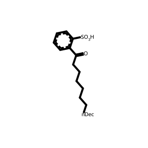 CCCCCCCCCCCCCCCCC(=O)c1ccccc1S(=O)(=O)O